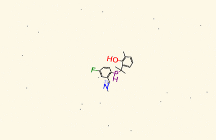 C/N=C/c1cc(F)ccc1PC(C)(C)c1cccc(C)c1O